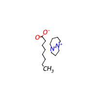 C1=[N+]2CCCN2CCC1.CCCCCCCC(=O)[O-]